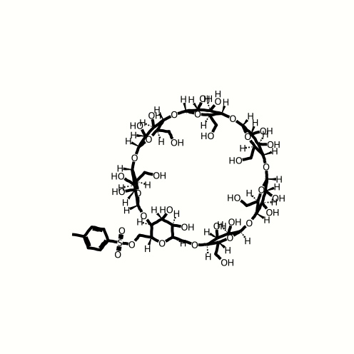 Cc1ccc(S(=O)(=O)OC[C@H]2O[C@@H]3O[C@H]4[C@H](O)[C@@H](O)[C@@H](O[C@H]5[C@H](O)[C@@H](O)[C@@H](O[C@H]6[C@H](O)[C@@H](O)[C@@H](O[C@H]7[C@H](O)[C@@H](O)[C@@H](O[C@H]8[C@H](O)[C@@H](O)[C@@H](O[C@H]9[C@H](O)[C@@H](O)[C@@H](O[C@H]2[C@H](O)[C@H]3O)O[C@@H]9CO)O[C@@H]8CO)O[C@@H]7CO)O[C@@H]6CO)O[C@@H]5CO)O[C@@H]4CO)cc1